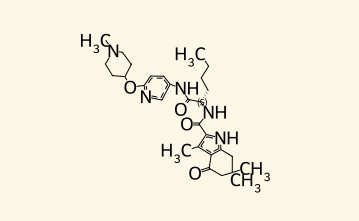 CCCC[C@H](NC(=O)c1[nH]c2c(c1C)C(=O)CC(C)(C)C2)C(=O)Nc1ccc(OC2CCN(C)CC2)nc1